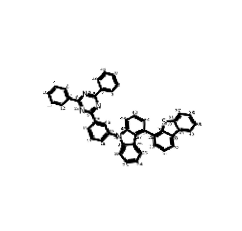 c1ccc(-c2nc(-c3ccccc3)nc(-c3cccc(-n4c5ccccc5c5c(-c6cccc7c6sc6ccccc67)cccc54)c3)n2)cc1